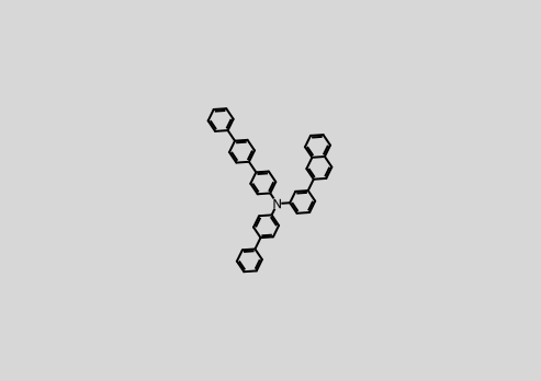 c1ccc(-c2ccc(-c3ccc(N(c4ccc(-c5ccccc5)cc4)c4cccc(-c5ccc6ccccc6c5)c4)cc3)cc2)cc1